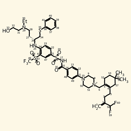 C=C(CCC1=C(CN2CCN(c3ccc(C(=O)NS(=O)(=O)c4ccc(N[C@H](CCN(CC)CCO)CSc5ccccc5)c(S(=O)(=O)C(F)(F)F)c4)cc3)CC2)CCC(C)(C)C1)C(F)F